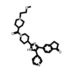 COCCN1CCC(C(=O)N2CCC(c3nc(-c4ccc5c(c4)CCC5=O)c(-c4ccncc4)[nH]3)CC2)CC1